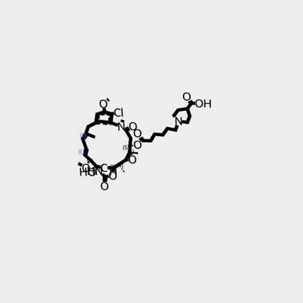 COc1cc2cc(c1Cl)N(C)C(=O)C[C@H](OC(=O)CCCCCN1CCC(C(=O)O)CC1)[C@]1(C)OC1[C@H](C)[C@@H]1C[C@@](O)(NC(=O)O1)[C@H](OC)/C=C/C=C(\C)C2